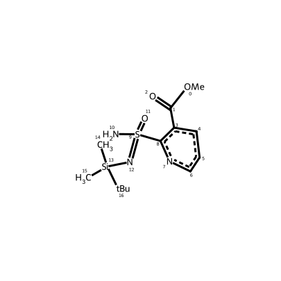 COC(=O)c1cccnc1S(N)(=O)=N[Si](C)(C)C(C)(C)C